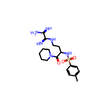 Cc1ccc(S(=O)(=O)NC(CCNC(=N)C(=N)N)C(=O)N2CCCCC2)cc1